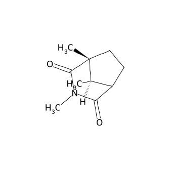 C[C@@H]1C2CC[C@@]1(C)C(=O)N(C)C2=O